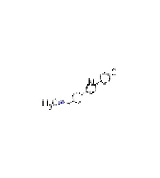 C/C=C/CC1CCC(c2ccc(-c3ccc(Cl)cc3)nc2)CC1